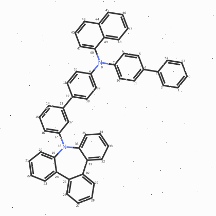 c1ccc(-c2ccc(N(c3ccc(-c4cccc(N5c6ccccc6-c6ccccc6-c6ccccc65)c4)cc3)c3cccc4ccccc34)cc2)cc1